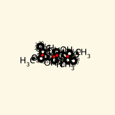 COc1ccc(C(O)(c2ccc(OC)cc2)[C@H](NC(=O)C(=O)N[C@H](c2ccc3ccccc3c2)C(O)(c2ccc(OC)cc2)c2ccc(OC)cc2)c2ccc3ccccc3c2)cc1